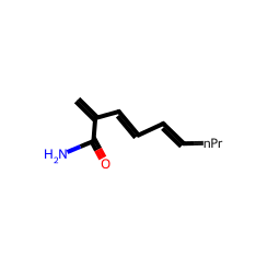 C=C(C=CC=CCCC)C(N)=O